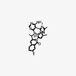 Cc1noc(-c2c(N)ncnc2NC(C)c2cc3ccc(F)cc3c(=O)n2-c2cc(C)[nH]n2)n1